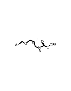 CC(=O)COC[C@H](C)CN(C)C(=O)OC(C)(C)C